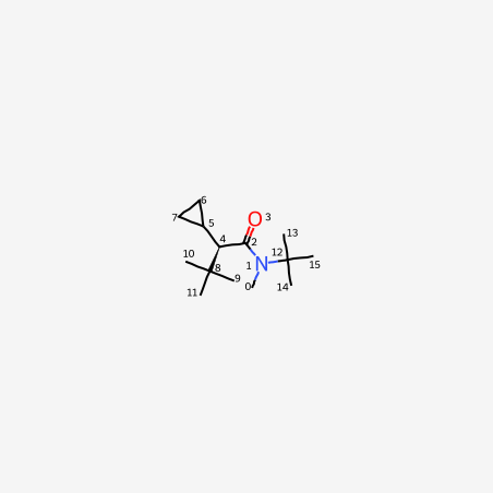 CN(C(=O)[C@H](C1CC1)C(C)(C)C)C(C)(C)C